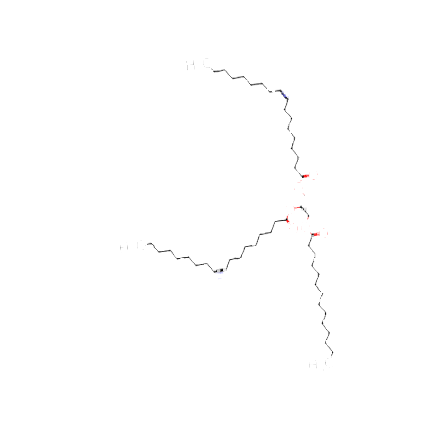 CCCCCCCC/C=C\CCCCCCCC(=O)OC[C@H](COC(=O)CCCCCCCCCCCCC)OC(=O)CCCCCCC/C=C\CCCCCCCC